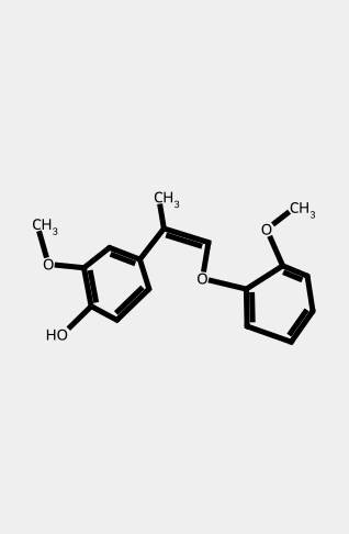 COc1cc(/C(C)=C\Oc2ccccc2OC)ccc1O